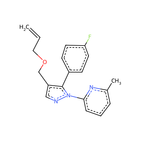 C=CCOCc1cnn(-c2cccc(C)n2)c1-c1ccc(F)cc1